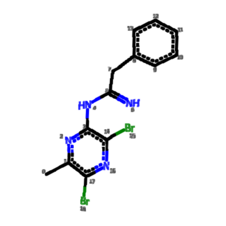 Cc1nc(NC(=N)Cc2ccccc2)c(Br)nc1Br